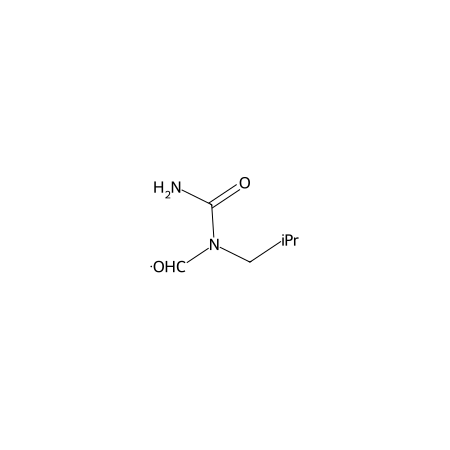 CC(C)CN([C]=O)C(N)=O